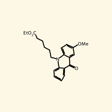 CCOC(=O)CCCCCn1c2ccccc2c(=O)c2cc(OC)ccc21